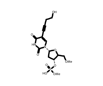 COCC1O[C@@H](n2cc(C#CCCO)c(=O)[nH]c2=O)C[C@H]1OP(=O)(O)OC